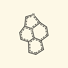 c1cc2ccc3cnc4ccc(c1)c2n34